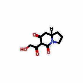 O=C(CO)C1C(=O)C[C@@H]2CCCN2C1=O